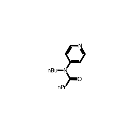 CCCCN(C(=O)CCC)c1ccncc1